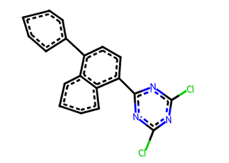 Clc1nc(Cl)nc(-c2ccc(-c3ccccc3)c3ccccc23)n1